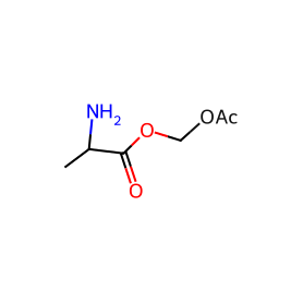 CC(=O)OCOC(=O)C(C)N